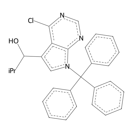 CC(C)C(O)c1cn(C(c2ccccc2)(c2ccccc2)c2ccccc2)c2ncnc(Cl)c12